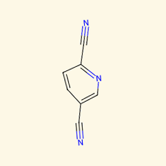 N#Cc1ccc(C#N)nc1